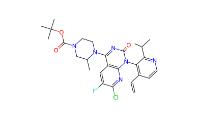 C=Cc1ccnc(C(C)C)c1-n1c(=O)nc(N2CCN(C(=O)OC(C)(C)C)CC2C)c2cc(F)c(Cl)nc21